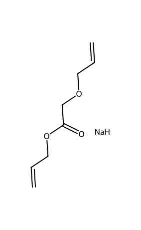 C=CCOCC(=O)OCC=C.[NaH]